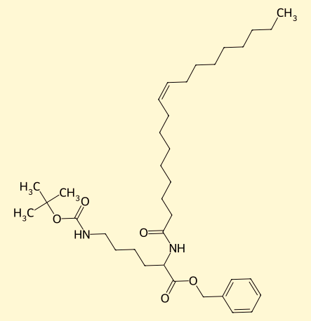 CCCCCCCC/C=C\CCCCCCCC(=O)NC(CCCCNC(=O)OC(C)(C)C)C(=O)OCc1ccccc1